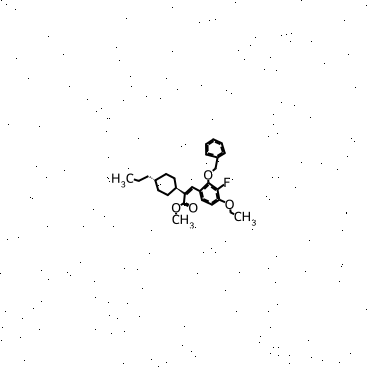 CCC[C@H]1CC[C@H](C(=Cc2ccc(OCC)c(F)c2OCc2ccccc2)C(=O)OC)CC1